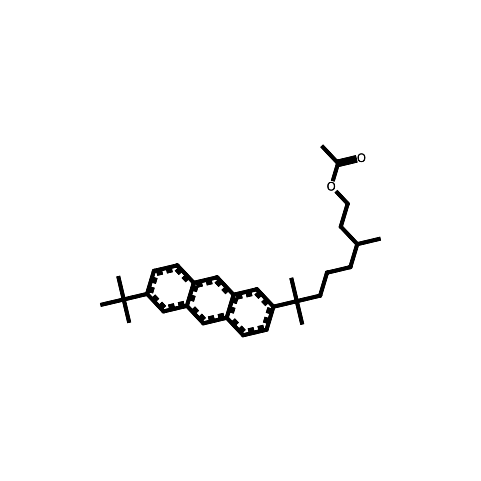 CC(=O)OCCC(C)CCCC(C)(C)c1ccc2cc3cc(C(C)(C)C)ccc3cc2c1